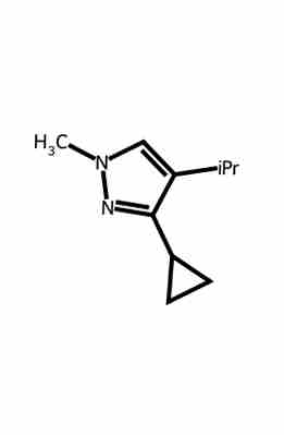 CC(C)c1cn(C)nc1C1CC1